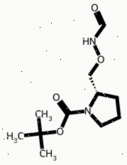 CC(C)(C)OC(=O)N1CCC[C@H]1CONC=O